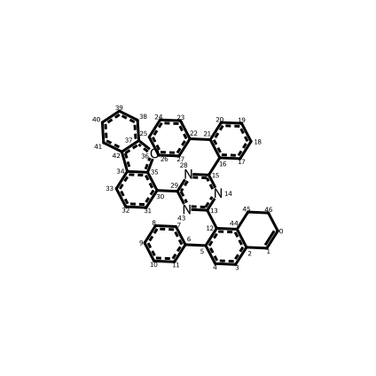 C1=Cc2ccc(-c3ccccc3)c(-c3nc(-c4ccccc4-c4ccccc4)nc(-c4cccc5c4oc4ccccc45)n3)c2CC1